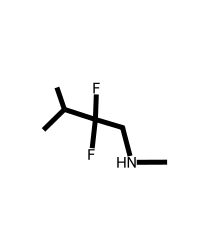 CNCC(F)(F)C(C)C